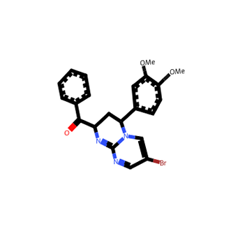 COc1ccc(C2CC(C(=O)c3ccccc3)N=C3N=CC(Br)=CN32)cc1OC